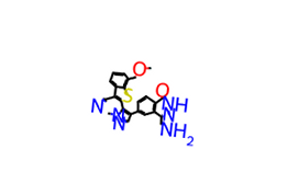 COCc1cccc2c(C#N)c(-c3c(-c4ccc5c(=O)[nH]nc(CN)c5c4)cnn3C)sc12